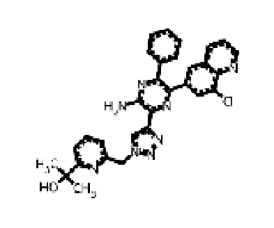 CC(C)(O)c1cccc(Cn2cc(-c3nc(-c4cc(Cl)c5ncccc5c4)c(-c4ccccc4)nc3N)nn2)n1